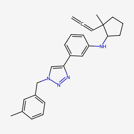 C=C=CC1(C)CCCC1Nc1cccc(-c2cn(Cc3cccc(C)c3)nn2)c1